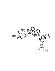 Cc1nc(Nc2cccc(C3C=CC=C(c4nc5cc(CN6CCC(C)(C(=O)O)C6)cc(C#N)c5o4)C3(C)C)c2)c2ncc(CNC(C)CO)cc2n1